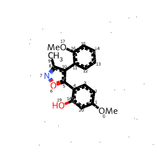 COc1ccc(-c2onc(C)c2-c2ccccc2OC)c(O)c1